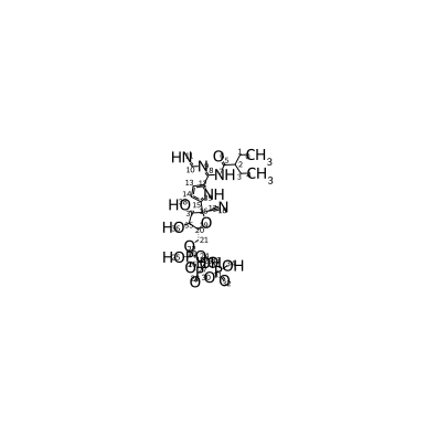 CCC(CC)C(=O)N/C(=N/C=N)c1ccc([C@]2(C#N)O[C@H](COP(=O)(O)OP(=O)(O)OP(=O)(O)O)[C@@H](O)[C@H]2O)[nH]1